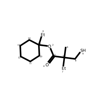 CCC1(OC(=O)C(C)(CC)CS)CCCCC1